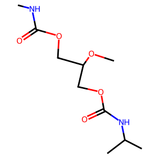 CNC(=O)OCC(COC(=O)NC(C)C)OC